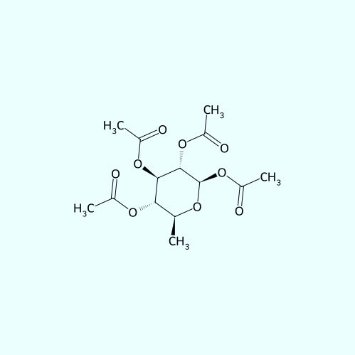 CC(=O)O[C@H]1O[C@@H](C)[C@H](OC(C)=O)[C@@H](OC(C)=O)[C@@H]1OC(C)=O